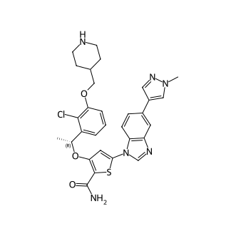 C[C@@H](Oc1cc(-n2cnc3cc(-c4cnn(C)c4)ccc32)sc1C(N)=O)c1cccc(OCC2CCNCC2)c1Cl